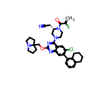 C=C(F)C(=O)N1CCN(c2nc(OCC34CCCN3CCC4)nc3cc(-c4cccc5c4CCCC5)c(Cl)cc23)C[C@@H]1CC#N